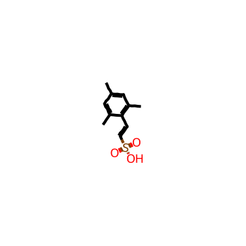 Cc1cc(C)c(/C=C/S(=O)(=O)O)c(C)c1